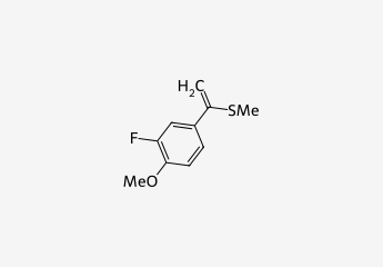 C=C(SC)c1ccc(OC)c(F)c1